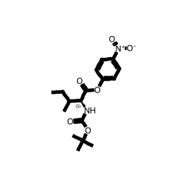 CCC(C)[C@H](NC(=O)OC(C)(C)C)C(=O)Oc1ccc([N+](=O)[O-])cc1